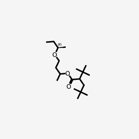 CC[C@@H](C)OCCC(C)OC(=O)C(CC(C)(C)C)C(C)(C)C